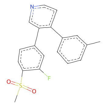 Cc1cccc(-c2ccncc2-c2ccc(S(C)(=O)=O)c(F)c2)c1